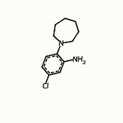 Nc1cc(Cl)ccc1N1CCCCCC1